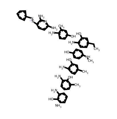 CCc1ccc(N)c(O)c1.CNc1ccc(O)cc1.Cc1cc(O)ccc1N.Cc1ccc(N)c(O)c1.Cc1cccc(N)c1O.N.Nc1ccc(/N=N/c2ccccc2)c(N)n1.Nc1ccccc1O